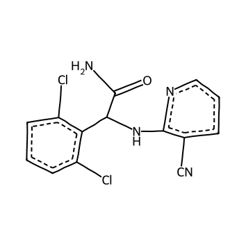 N#Cc1cccnc1NC(C(N)=O)c1c(Cl)cccc1Cl